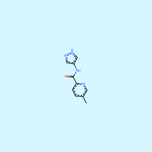 Cc1ccc(C(=O)Nc2cn[nH]c2)nc1